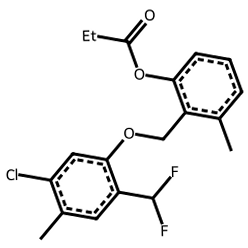 CCC(=O)Oc1cccc(C)c1COc1cc(Cl)c(C)cc1C(F)F